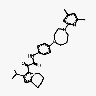 Cc1cc(C)nc(N2CCCN(c3ccc(NC(=O)C(=O)c4c(C(C)C)cc5n4CCCC5)cc3)CC2)c1